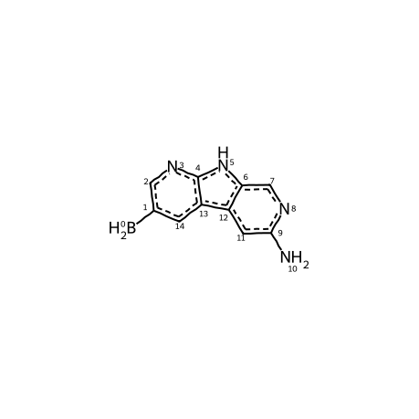 Bc1cnc2[nH]c3cnc(N)cc3c2c1